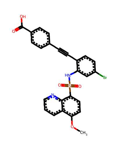 COc1ccc(S(=O)(=O)Nc2cc(Br)ccc2C#Cc2ccc(C(=O)O)cc2)c2ncccc12